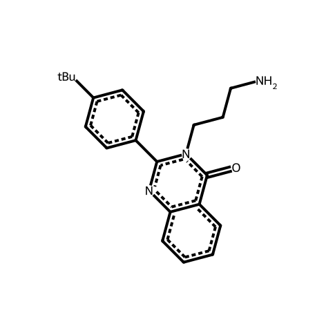 CC(C)(C)c1ccc(-c2nc3ccccc3c(=O)n2CCCN)cc1